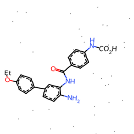 CCOc1ccc(-c2ccc(N)c(NC(=O)c3ccc(NC(=O)O)cc3)c2)cc1